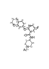 CC(=O)N1CCC(NC(=O)c2cc(F)cnc2Oc2ccc3c(c2)OCCS3)CC1